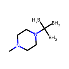 BC(B)(B)N1CCN(C)CC1